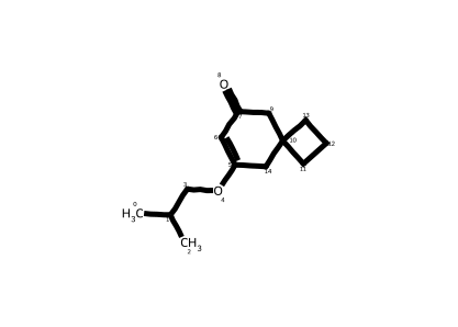 CC(C)COC1=CC(=O)CC2(CCC2)C1